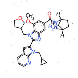 COc1cc(C(=O)N2C[C@H]3CC[C@@H]2[C@@H]3N)cc2nc(-c3cc4cccnc4n3CC3CC3)n(CC3CCOC3)c12